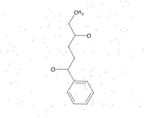 CCC(Cl)CCC(Cl)c1ccccc1